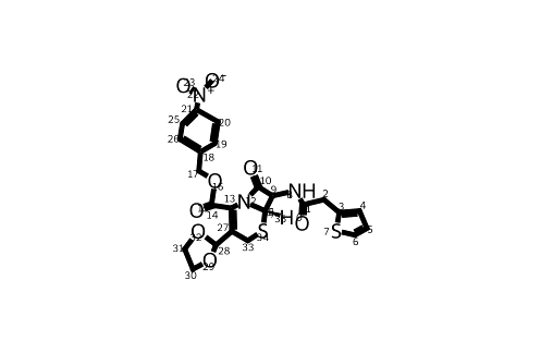 O=C(Cc1cccs1)NC1C(=O)N2C(C(=O)OCc3ccc([N+](=O)[O-])cc3)=C(C3OCCO3)CS[C@@H]12